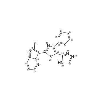 Cc1nc2cccnn2c1-c1nc(-c2ccccc2)c(-c2nnc[nH]2)s1